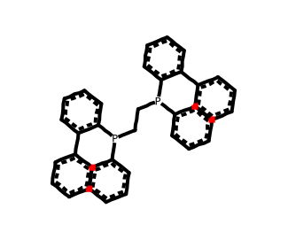 c1ccc(-c2ccccc2P(CCP(c2ccccc2)c2ccccc2-c2ccccc2)c2ccccc2)cc1